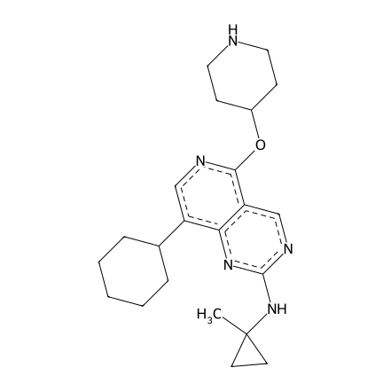 CC1(Nc2ncc3c(OC4CCNCC4)ncc(C4CCCCC4)c3n2)CC1